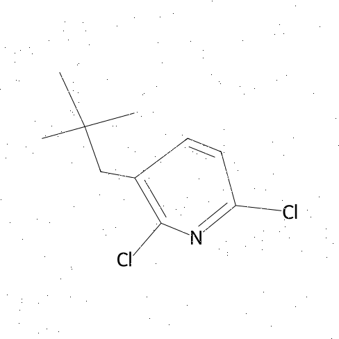 CC(C)(C)Cc1ccc(Cl)nc1Cl